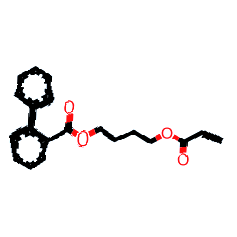 C=CC(=O)OCCCCOC(=O)c1ccccc1-c1ccccc1